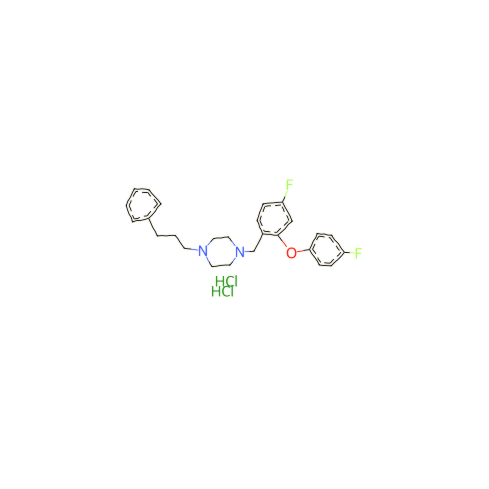 Cl.Cl.Fc1ccc(Oc2cc(F)ccc2CN2CCN(CCCc3ccccc3)CC2)cc1